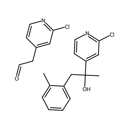 Cc1ccccc1CC(C)(O)c1ccnc(Cl)c1.O=CCc1ccnc(Cl)c1